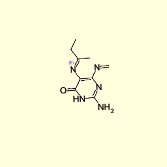 C=Nc1nc(N)[nH]c(=O)c1/N=C(\C)CC